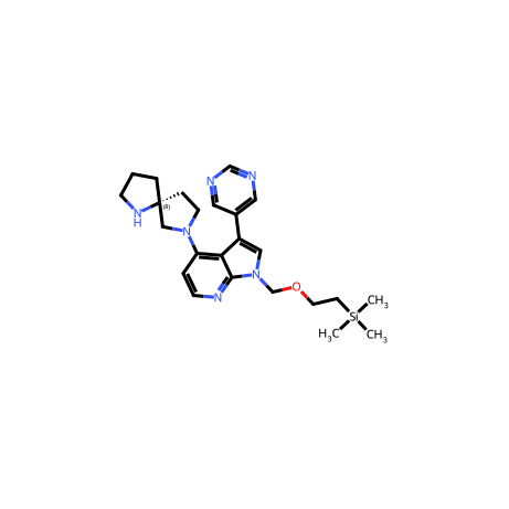 C[Si](C)(C)CCOCn1cc(-c2cncnc2)c2c(N3CC[C@]4(CCCN4)C3)ccnc21